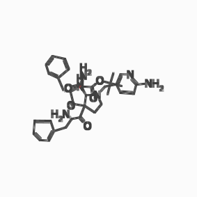 CC(C)(C)OC(=O)N[C@@H](Cc1ccccc1)C(=O)C1(C(=O)[C@@H](N)Cc2ccccc2)CCN(Cc2ccc(N)nc2)[C@@H]1C(N)=O